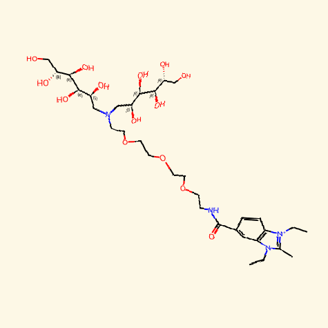 CCn1c(C)[n+](CC)c2ccc(C(=O)NCCOCCOCCOCCN(C[C@H](O)[C@@H](O)[C@H](O)[C@H](O)CO)C[C@H](O)[C@@H](O)[C@H](O)[C@H](O)CO)cc21